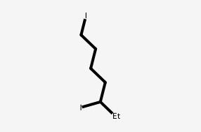 CCC(I)CCCCI